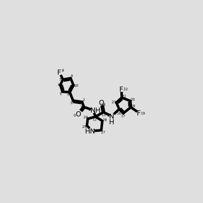 O=C(C=Cc1ccc(F)cc1)NC1(C(=O)Nc2cc(F)cc(F)c2)CCNCC1